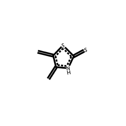 C=c1[nH]c(=S)sc1=C